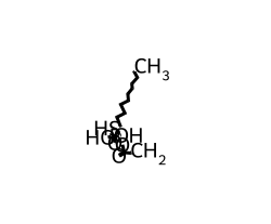 C=CC(=O)OOP(O)(O)=[SH]CCCCCCCCCCC